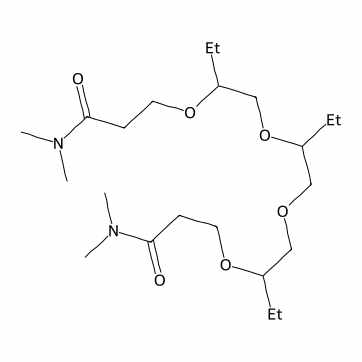 CCC(COCC(CC)OCC(CC)OCCC(=O)N(C)C)OCCC(=O)N(C)C